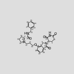 O=C1CCC(N2Cc3c(OCCCN4CCC[C@@H]4C(=O)NCc4ccccc4)cccc3C2=O)C(=O)N1